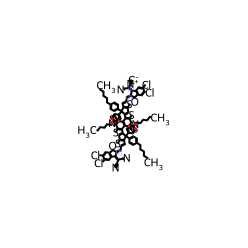 [C-]#[N+]/C(C#N)=C1/C(=C/c2cc3c(s2)-c2sc4c5nsnc5c5c6c7c(sc6c6nsnc6c5c4c2C3(c2ccc(CCCCCC)cc2)c2ccc(CCCCCC)cc2)-c2sc(/C=C3\C(=O)c4cc(Cl)c(Cl)cc4C3=C(C#N)C#N)cc2C7(c2ccc(CCCCCC)cc2)c2ccc(CCCCCC)cc2)C(=O)c2cc(Cl)c(Cl)cc21